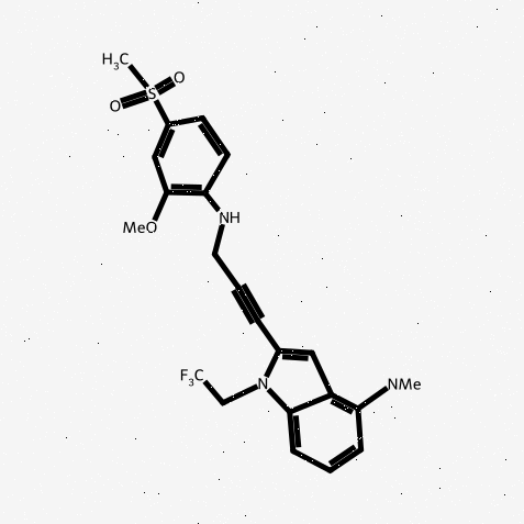 CNc1cccc2c1cc(C#CCNc1ccc(S(C)(=O)=O)cc1OC)n2CC(F)(F)F